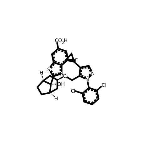 O=C(O)c1cc(F)c2nc([C@@]3(O)[C@@H]4CC[C@H]3C[C@@H](OCc3c(C5CC5)cnn3-c3c(Cl)cccc3Cl)C4)sc2c1